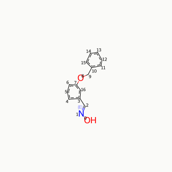 O/N=C/c1cccc(OCc2ccccc2)c1